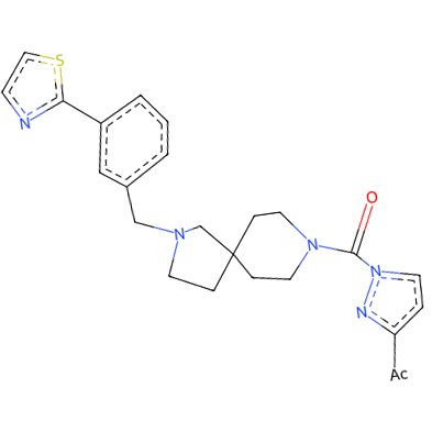 CC(=O)c1ccn(C(=O)N2CCC3(CCN(Cc4cccc(-c5nccs5)c4)C3)CC2)n1